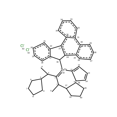 CC([C](C(C)C1CCCC1)=[Zr+2]([C]1=CC=CC1)[CH]1c2ccccc2-c2c1c1ccccc1c1ccccc21)C1CCCC1.[Cl-].[Cl-]